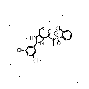 CCc1[nH]c(-c2cc(Cl)cc(Cl)c2)nc1C(=O)NS(=O)(=O)c1ccccc1Cl